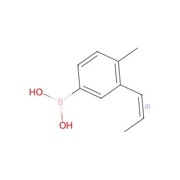 C/C=C\c1cc(B(O)O)ccc1C